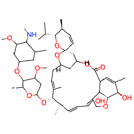 CNC1C(C)CC(OC2C(C)OC(O[C@@H]3/C(C)=C/C[C@@H]4C[C@@H](C[C@]5(C=C[C@H](C)[C@@H](C(C)C)O5)O4)OC(=O)C4C=C(C)[C@@H](O)C5OC/C(=C\C=C\[C@@H]3C)[C@@]45O)CC2OC)CC1OC